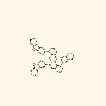 c1ccc(-c2cc3ccccc3cc2-c2c3cccc(-c4ccc5oc6ccccc6c5c4)c3cc3c(-c4ccc5oc6ccccc6c5c4)cccc23)cc1